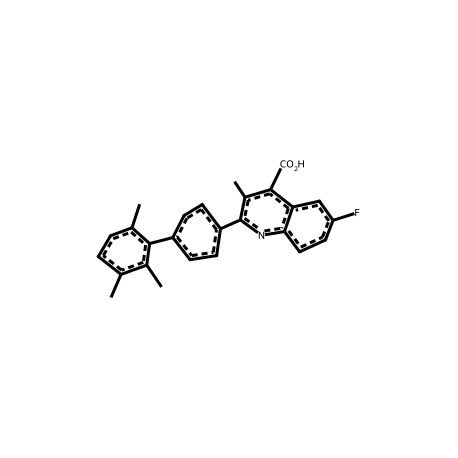 Cc1ccc(C)c(-c2ccc(-c3nc4ccc(F)cc4c(C(=O)O)c3C)cc2)c1C